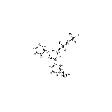 F[B-](F)(F)F.F[B-](F)(F)F.N.[Pt+2].c1ccc(-c2cccc(-c3ccccn3)n2)nc1